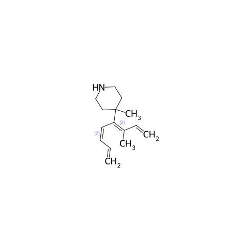 C=C/C=C\C(=C(/C)C=C)C1(C)CCNCC1